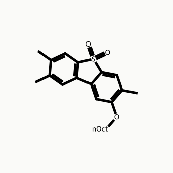 CCCCCCCCOc1cc2c(cc1C)S(=O)(=O)c1cc(C)c(C)cc1-2